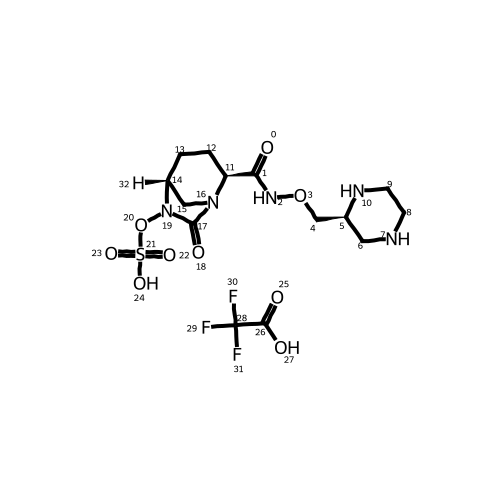 O=C(NOC[C@@H]1CNCCN1)[C@@H]1CC[C@@H]2CN1C(=O)N2OS(=O)(=O)O.O=C(O)C(F)(F)F